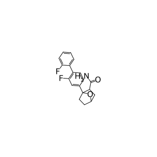 NC(=O)C1CC2CCC1(c1ccc(-c3ccccc3F)c(F)c1)O2